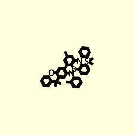 Cc1cc2c3c(c1)N1c4ccccc4[Si](C)(C)c4cccc(c41)B3N(c1ccccc1C)c1cc3c(cc1-2)Oc1ccccc1C3(C)C